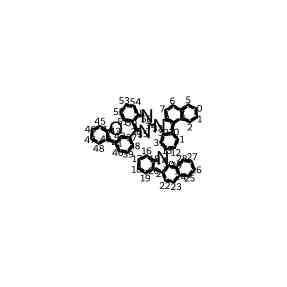 c1ccc2c(c1)ccc1c2c2ccc(-n3c4ccccc4c4ccc5ccccc5c43)cc2n1-c1nc(-c2cccc3c2oc2ccccc23)c2ccccc2n1